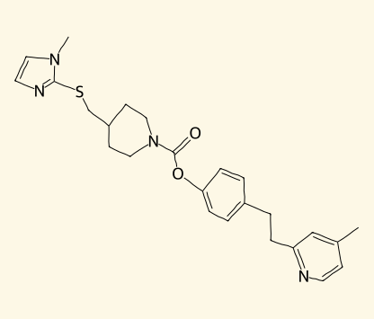 Cc1ccnc(CCc2ccc(OC(=O)N3CCC(CSc4nccn4C)CC3)cc2)c1